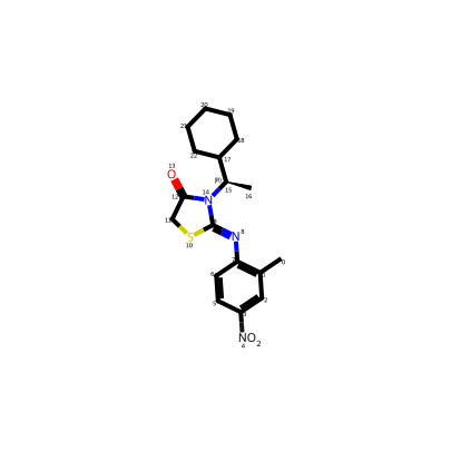 Cc1cc([N+](=O)[O-])ccc1N=C1SCC(=O)N1[C@H](C)C1CCCCC1